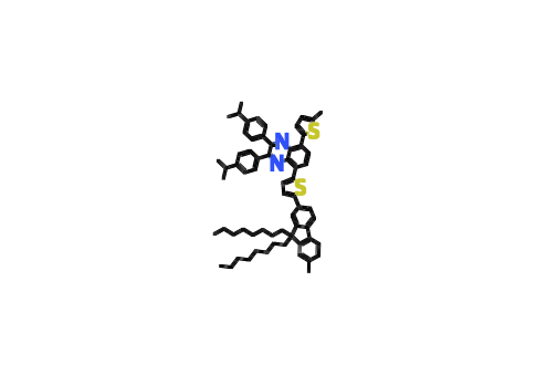 CCCCCCCCC1(CCCCCCCC)c2cc(C)ccc2-c2ccc(-c3ccc(-c4ccc(-c5ccc(C)s5)c5nc(-c6ccc(C(C)C)cc6)c(-c6ccc(C(C)C)cc6)nc45)s3)cc21